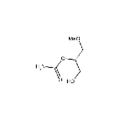 COC[C@H](CO)OC(N)=O